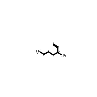 C=CC(CCC)CCCN